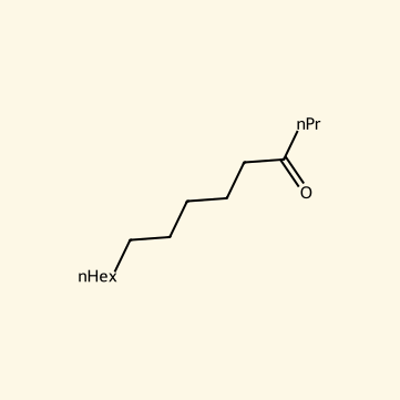 CCCCCCCCCCCC(=O)CCC